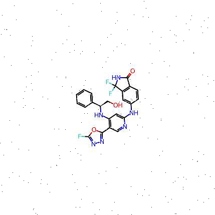 O=C1NC(F)(F)c2cc(Nc3cc(N[C@H](CO)c4ccccc4)c(-c4nnc(F)o4)cn3)ccc21